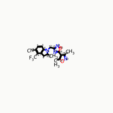 [C-]#[N+]c1ccc2c(c1C(F)(F)F)CC(C)N2Cc1noc(-c2c(C)noc2C)n1